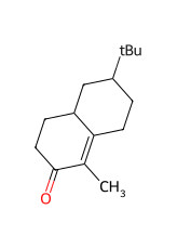 CC1=C2CCC(C(C)(C)C)CC2CCC1=O